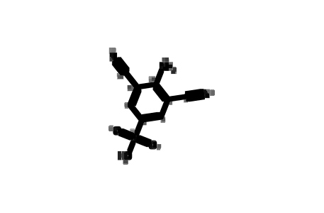 N#Cc1cc(S(=O)(=O)O)cc(C#N)c1N